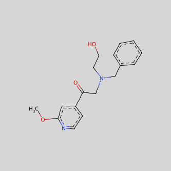 COc1cc(C(=O)CN(CCO)Cc2ccccc2)ccn1